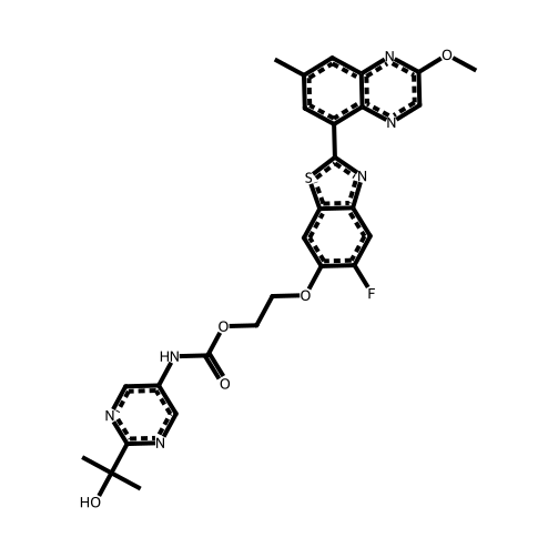 COc1cnc2c(-c3nc4cc(F)c(OCCOC(=O)Nc5cnc(C(C)(C)O)nc5)cc4s3)cc(C)cc2n1